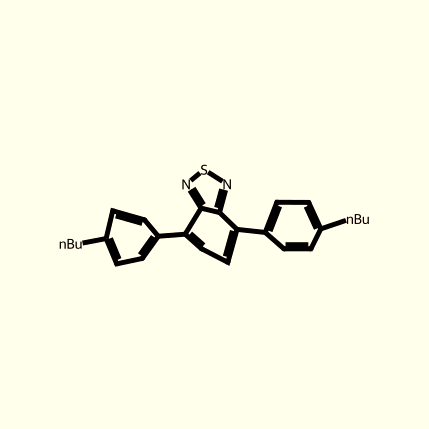 CCCCc1ccc(-c2ccc(-c3ccc(CCCC)cc3)c3nsnc23)cc1